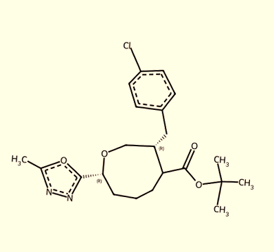 Cc1nnc([C@H]2CCCC(C(=O)OC(C)(C)C)[C@@H](Cc3ccc(Cl)cc3)CO2)o1